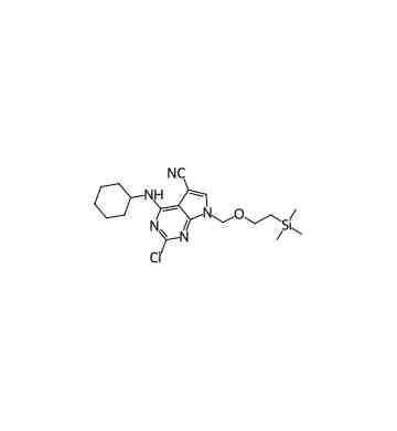 C[Si](C)(C)CCOCn1cc(C#N)c2c(NC3CCCCC3)nc(Cl)nc21